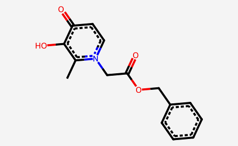 Cc1c(O)c(=O)ccn1CC(=O)OCc1ccccc1